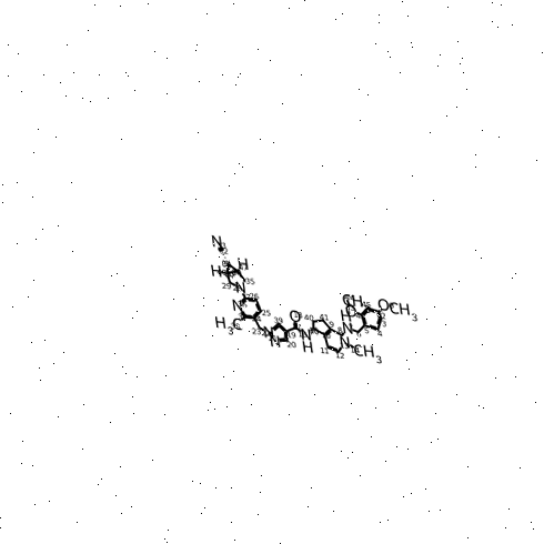 COc1ccc(CNC2C3=C(C=CN2C)[C@H](NC(=O)c2cnn(Cc4ccc(N5C[C@@H]6[C@H](C#N)[C@@H]6C5)nc4C)c2)CC3)c(OC)c1